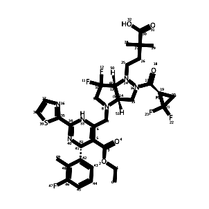 CCOC(=O)C1=C(CN2CC(F)(F)[C@H]3[C@@H]2CN(C(=O)[C@H]2CC2(F)F)N3CCC(C)(C)C(=O)O)NC(c2nccs2)=N[C@H]1c1cccc(F)c1C